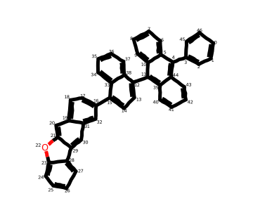 c1ccc(-c2c3ccccc3c(-c3ccc(-c4ccc5cc6oc7ccccc7c6cc5c4)c4ccccc34)c3ccccc23)cc1